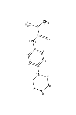 CC(C)C(=O)Nc1ccc(N2CCOCC2)cc1